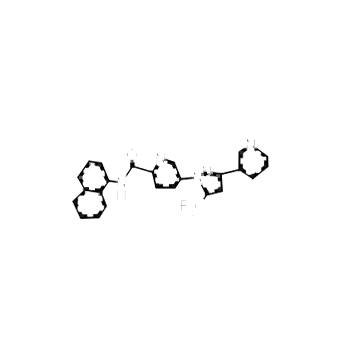 O=C(Nc1cccc2ccccc12)c1ccc(-n2nc(-c3cccnc3)cc2C(F)(F)F)cn1